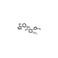 Cc1cnc(C(=O)Nc2cccc(-n3nnnc3C(C)C)n2)cc1-c1cnn(C2CC2)c1